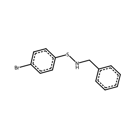 Brc1ccc(SNCc2ccccc2)cc1